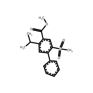 COC(=O)c1cc(S(C)(=O)=O)c(-c2ccccc2)cc1C(C)C